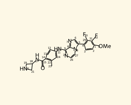 COc1ccc(-c2cnc3c(Nc4ccc(C(=O)NC5CNC5)c(C)c4)nccn23)c(F)c1F